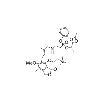 COc1c(C)c2c(c(OCC[Si](C)(C)C)c1C/C=C(\C)CNCCP(=O)(Oc1ccccc1)O[C@@H](C)C1OC(C)O1)C(=O)OC2